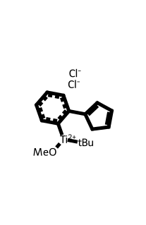 C[O][Ti+2]([c]1ccccc1C1=CC=CC1)[C](C)(C)C.[Cl-].[Cl-]